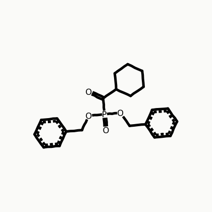 O=C(C1CCCCC1)P(=O)(OCc1ccccc1)OCc1ccccc1